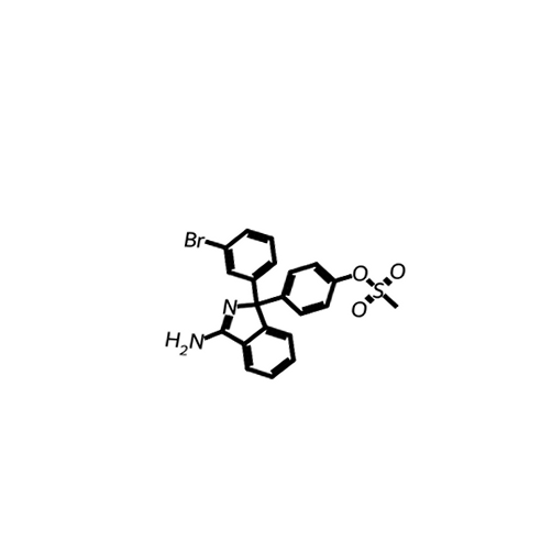 CS(=O)(=O)Oc1ccc(C2(c3cccc(Br)c3)N=C(N)c3ccccc32)cc1